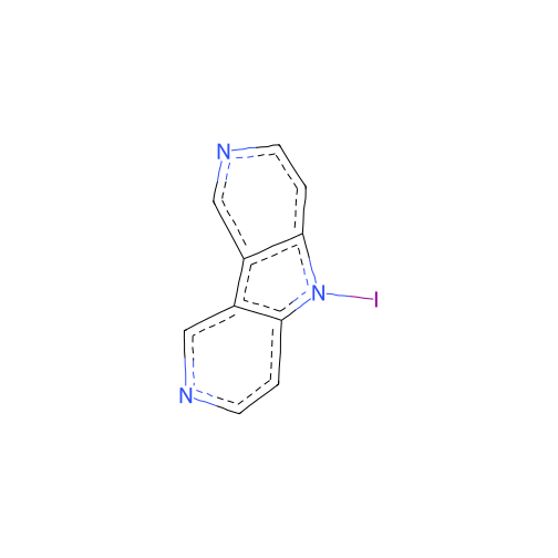 In1c2ccncc2c2cnccc21